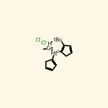 [CH3][GeH]([CH3])[Hf+2]([C]1=CC=CC1)[C]1=C(C(C)(C)C)C=CC1.[Cl-].[Cl-]